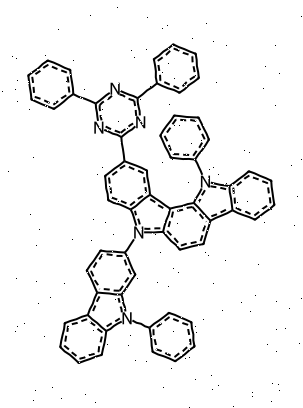 c1ccc(-c2nc(-c3ccccc3)nc(-c3ccc4c(c3)c3c(ccc5c6ccccc6n(-c6ccccc6)c53)n4-c3ccc4c5ccccc5n(-c5ccccc5)c4c3)n2)cc1